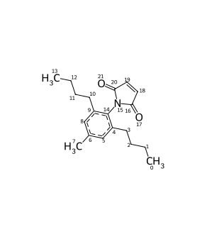 CCCCc1cc(C)cc(CCCC)c1N1C(=O)C=CC1=O